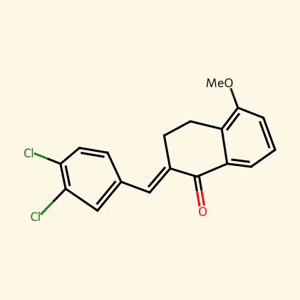 COc1cccc2c1CCC(=Cc1ccc(Cl)c(Cl)c1)C2=O